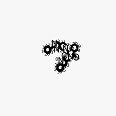 Cn1c(=O)c(CN(CCN2CCc3cnc(-c4ccccc4)nc3C2)C(=O)C2CCCCC2)cc2ccccc21